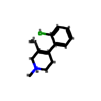 CCCCC1=C(c2ccccc2Cl)CCN(C)C1